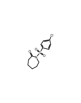 O=C1CCCCCN1S(=O)(=O)c1ccc(Cl)cc1